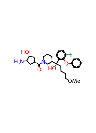 COCCCC[C@@](O)(c1cccc(F)c1Oc1ccccc1)[C@@H]1CCCN(C(=O)[C@H]2C[C@@H](N)[C@H](O)C2)C1